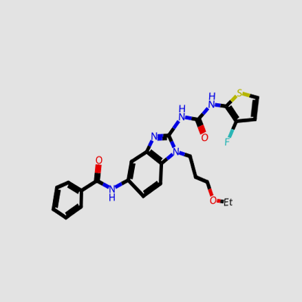 CCOCCCn1c(NC(=O)Nc2sccc2F)nc2cc(NC(=O)c3ccccc3)ccc21